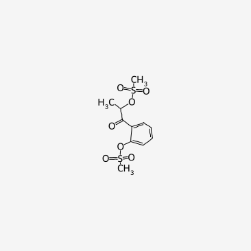 CC(OS(C)(=O)=O)C(=O)c1ccccc1OS(C)(=O)=O